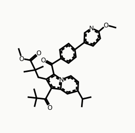 COC(=O)C(C)(C)Cc1c(C(=O)C(C)(C)C)c2cc(C(C)C)ccn2c1C(=O)c1ccc(-c2ccc(OC)nc2)cc1